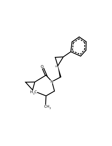 CC(C)CN(C[C@H]1CC1c1ccccc1)C(=O)C1CC1